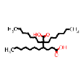 CCCCCCCC(CCC(=O)O)C(CCCCCCC)(CCCCCCC)C(=O)O